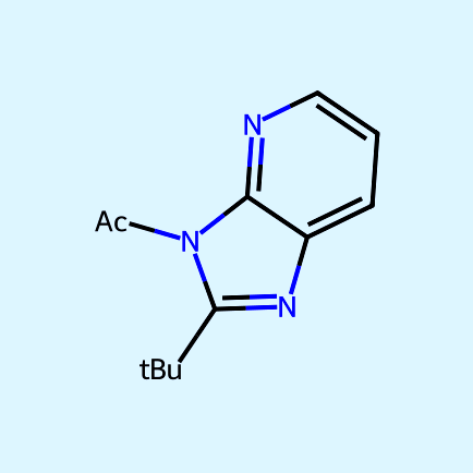 CC(=O)n1c(C(C)(C)C)nc2cccnc21